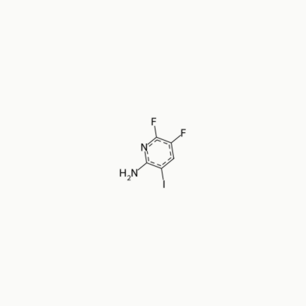 Nc1nc(F)c(F)cc1I